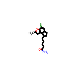 CC1Cc2c(c(Br)cc3c2C(CCCCC(N)=O)CC3)O1